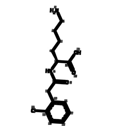 NCCCC[C@H](NC(=O)Cc1ccccc1Cl)C(=O)O